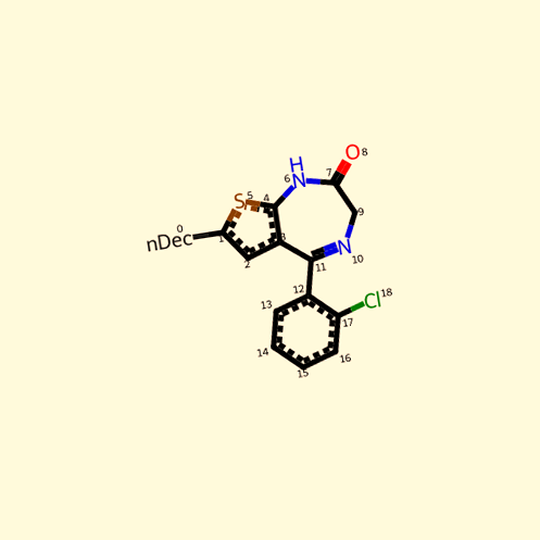 CCCCCCCCCCc1cc2c(s1)NC(=O)CN=C2c1ccccc1Cl